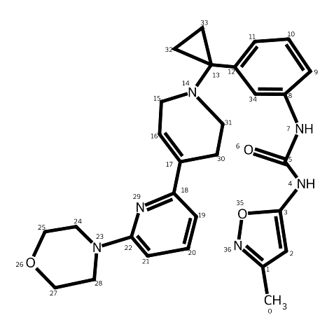 Cc1cc(NC(=O)Nc2cccc(C3(N4CC=C(c5cccc(N6CCOCC6)n5)CC4)CC3)c2)on1